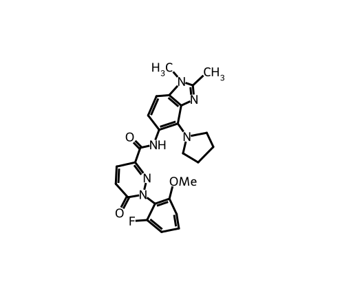 COc1cccc(F)c1-n1nc(C(=O)Nc2ccc3c(nc(C)n3C)c2N2CCCC2)ccc1=O